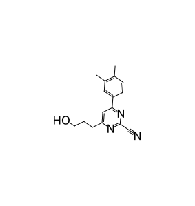 Cc1ccc(-c2cc(CCCO)nc(C#N)n2)cc1C